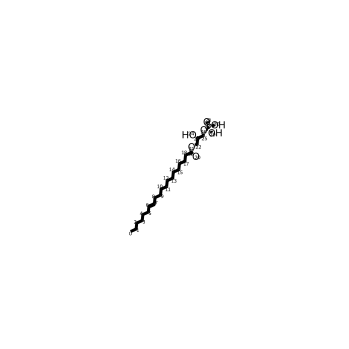 CCCCCC/C=C/CCCCCCCCCCCC(=O)OCC(O)COP(=O)(O)O